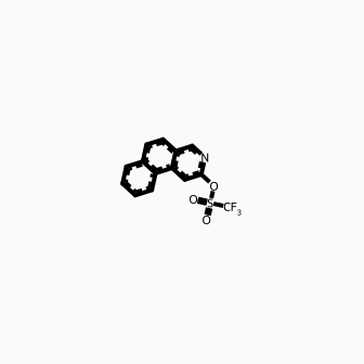 O=S(=O)(Oc1cc2c(ccc3ccccc32)cn1)C(F)(F)F